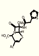 COC1(NC(=O)Cc2cccs2)C(=O)N2C(C(=O)O)C(C(C)=O)=CS[C@H]21